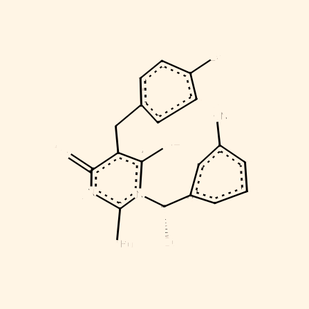 CCCCc1nc(=O)c(Cc2ccc(Br)cc2)c(O)n1[C@@H](CC)c1cccc(C#N)c1